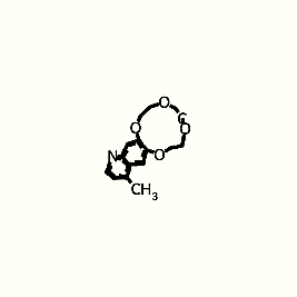 Cc1ccnc2cc3c(cc12)OCCOCCOCCO3